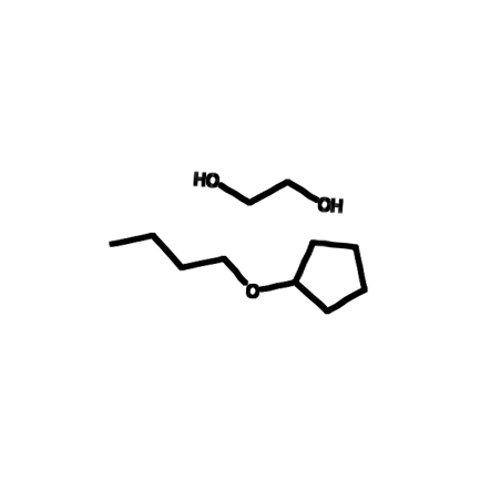 CCCCOC1CCCC1.OCCO